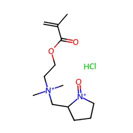 C=C(C)C(=O)OCC[N+](C)(C)CC1CCC[N+]1=O.Cl